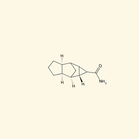 NC(=O)C1C2C3C[C@@H]([C@@H]12)[C@H]1CCC[C@@H]31